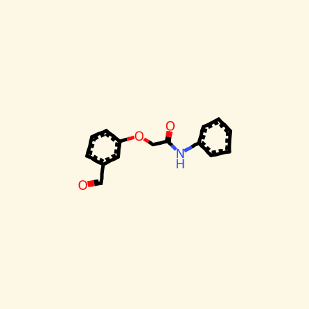 O=Cc1cccc(OCC(=O)Nc2ccccc2)c1